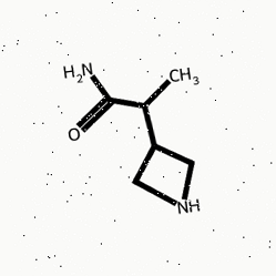 CC(C(N)=O)C1CNC1